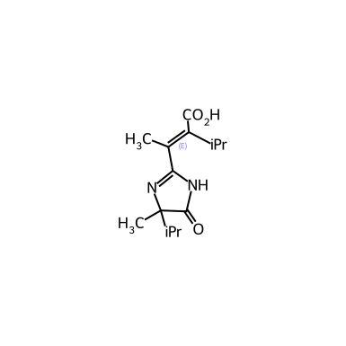 C/C(C1=NC(C)(C(C)C)C(=O)N1)=C(\C(=O)O)C(C)C